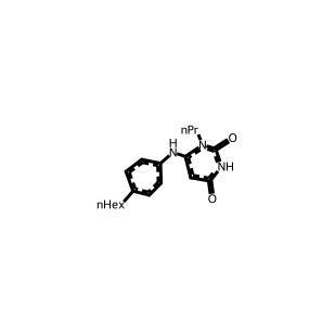 CCCCCCc1ccc(Nc2cc(=O)[nH]c(=O)n2CCC)cc1